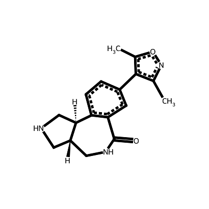 Cc1noc(C)c1-c1ccc2c(c1)C(=O)NC[C@@H]1CNC[C@@H]21